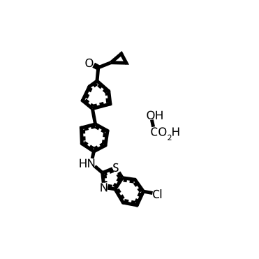 O=C(O)O.O=C(c1ccc(-c2ccc(Nc3nc4ccc(Cl)cc4s3)cc2)cc1)C1CC1